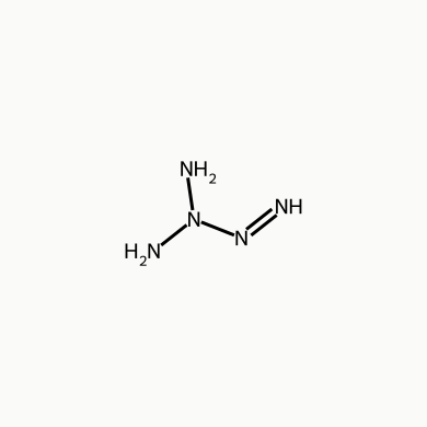 N=NN(N)N